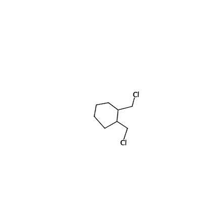 ClCC1CCCCC1CCl